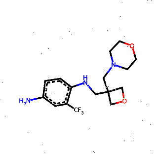 Nc1ccc(NCC2(CN3CCOCC3)COC2)c(C(F)(F)F)c1